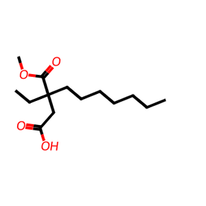 CCCCCCCC(CC)(CC(=O)O)C(=O)OC